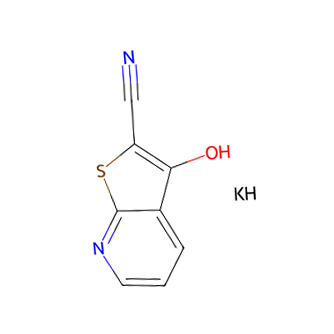 N#Cc1sc2ncccc2c1O.[KH]